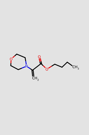 C=C(C(=O)OCCCC)N1CCOCC1